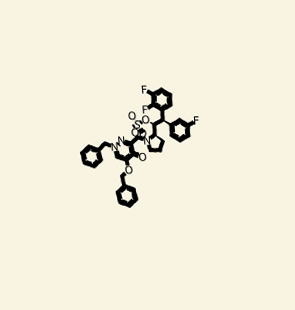 CS(=O)(=O)O[C@H]([C@H](c1cccc(F)c1)c1cccc(F)c1F)[C@H]1CCCN1C(=O)c1nn(Cc2ccccc2)cc(OCc2ccccc2)c1=O